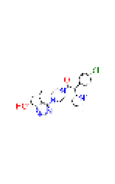 C[C@@H]1C[C@@H](O)c2ncnc(N3CCN(C(=O)C(c4ccc(Cl)cc4)C4CCC(C)(C)N4C)CC3)c21